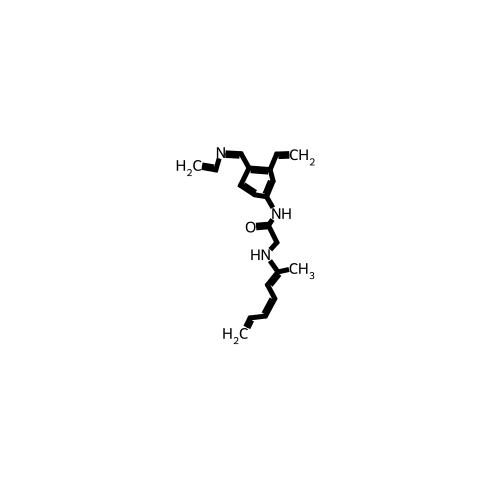 C=C/C=C\C=C(/C)NCC(=O)Nc1ccc(/C=N\C=C)c(C=C)c1